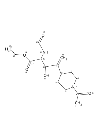 C=C(C1CCN(C(C)=O)CC1)C(O)C(NC=O)C(=O)OCC